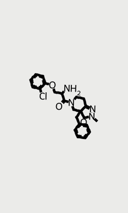 CN1N=C2CCN(C(=O)C(N)COc3ccccc3Cl)CC2(Cc2ccccc2)C1=O